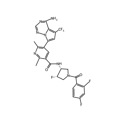 Cc1nc(C)c(-c2cc(C(F)(F)F)c3c(N)ncnn23)cc1C(=O)N[C@@H]1CN(C(=O)c2ccc(F)cc2F)C[C@@H]1F